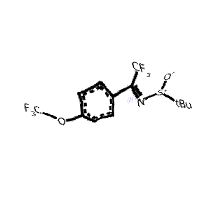 CC(C)(C)[S+]([O-])/N=C(/c1ccc(OC(F)(F)F)cc1)C(F)(F)F